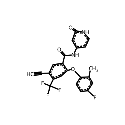 C#Cc1cc(C(=O)Nc2cc[nH]c(=O)c2)c(Oc2ccc(F)cc2C)cc1C(F)(F)F